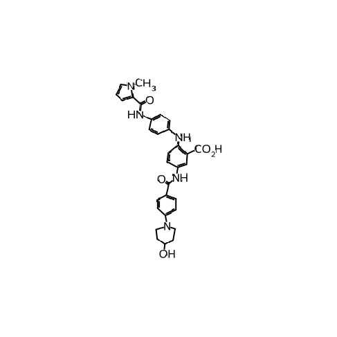 Cn1cccc1C(=O)Nc1ccc(Nc2ccc(NC(=O)c3ccc(N4CCC(O)CC4)cc3)cc2C(=O)O)cc1